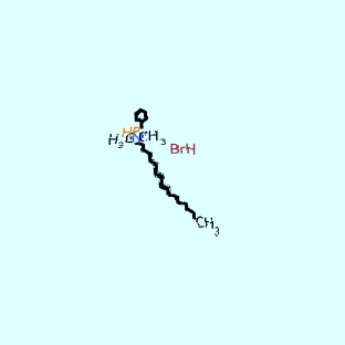 Br.CCCCCCCCCCCCCCCCCC[N+](C)(C)PCc1ccccc1